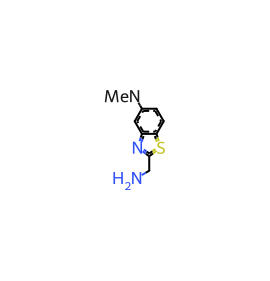 CNc1ccc2sc(CN)nc2c1